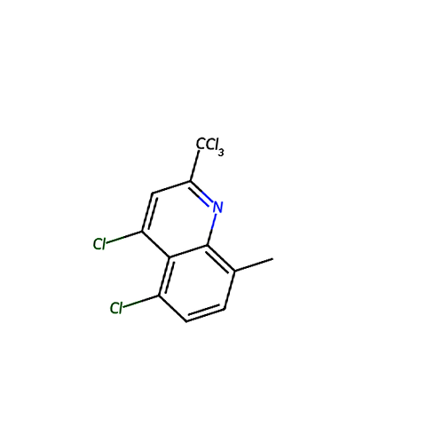 Cc1ccc(Cl)c2c(Cl)cc(C(Cl)(Cl)Cl)nc12